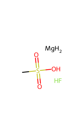 CS(=O)(=O)O.F.[MgH2]